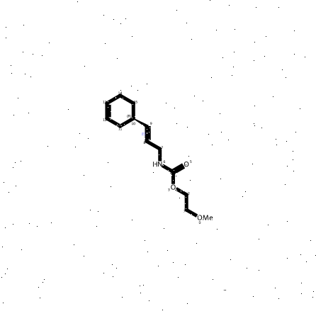 COCCOC(=O)NC/C=C/[C@H]1CC=CCC1